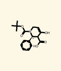 CC(C)(C)OC(=O)N1CC=C(O)C(C(=O)O)[C@H]1c1ccccc1